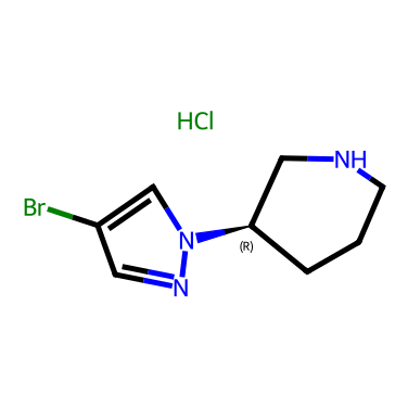 Brc1cnn([C@@H]2CCCNC2)c1.Cl